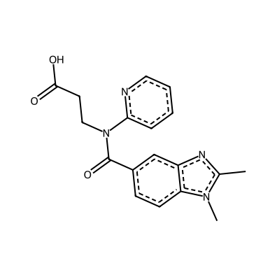 Cc1nc2cc(C(=O)N(CCC(=O)O)c3ccccn3)ccc2n1C